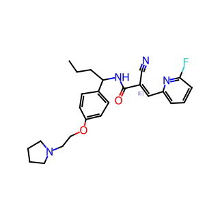 CCCC(NC(=O)/C(C#N)=C/c1cccc(F)n1)c1ccc(OCCN2CCCC2)cc1